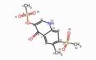 Cc1cc2c(=O)c(OS(C)(=O)=O)c[nH]c2cc1S(C)(=O)=O